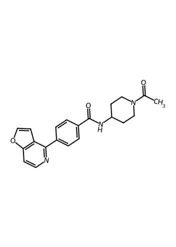 CC(=O)N1CCC(NC(=O)c2ccc(-c3nccc4occc34)cc2)CC1